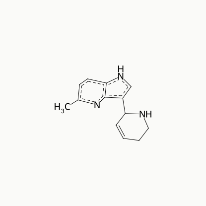 Cc1ccc2[nH]cc(C3C=CCCN3)c2n1